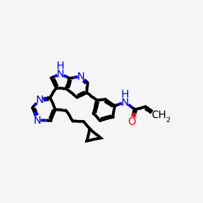 C=CC(=O)Nc1cccc(-c2cnc3[nH]cc(-c4ncncc4CCCC4CC4)c3c2)c1